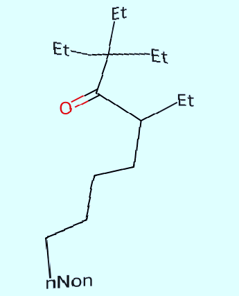 CCCCCCCCCCCCCC(CC)C(=O)C(CC)(CC)CC